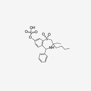 CCCCC1(CC)CS(=O)(=O)c2cc(OS(=O)(=O)O)ccc2C(c2ccccc2)N1